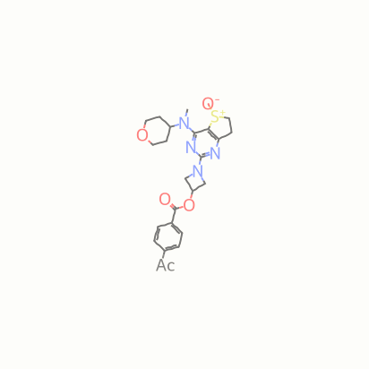 CC(=O)c1ccc(C(=O)OC2CN(c3nc4c(c(N(C)C5CCOCC5)n3)[S+]([O-])CC4)C2)cc1